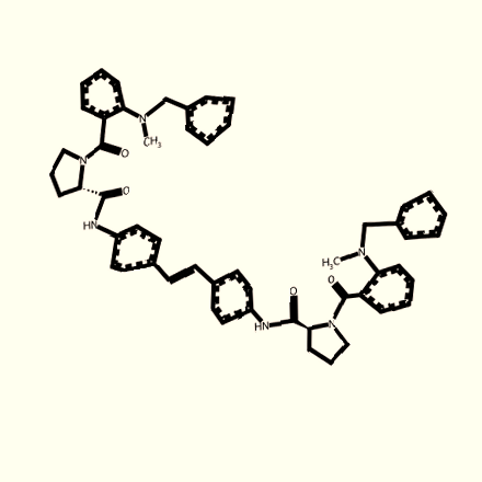 CN(Cc1ccccc1)c1ccccc1C(=O)N1CCC[C@H]1C(=O)Nc1ccc(/C=C/c2ccc(NC(=O)[C@@H]3CCCN3C(=O)c3ccccc3N(C)Cc3ccccc3)cc2)cc1